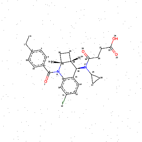 CCc1ccc(C(=O)N2c3cc(F)ccc3[C@H](N(C(=O)CCC(=O)O)C3CC3)[C@H]3CC[C@H]32)cc1